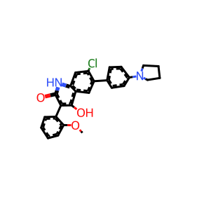 COc1ccccc1-c1c(O)c2cc(-c3ccc(N4CCCC4)cc3)c(Cl)cc2[nH]c1=O